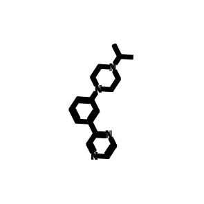 CC(C)N1CCN(c2cccc(-c3cnccn3)c2)CC1